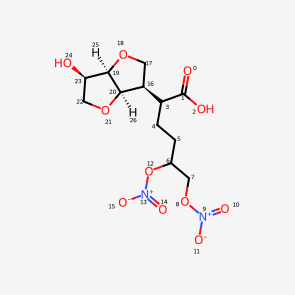 O=C(O)C(CCC(CO[N+](=O)[O-])O[N+](=O)[O-])[C@@H]1CO[C@H]2[C@@H]1OC[C@H]2O